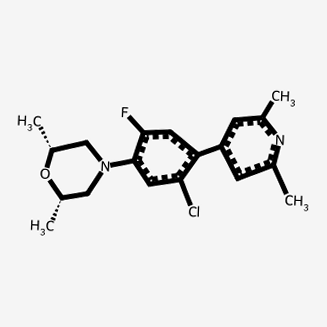 Cc1cc(-c2cc(F)c(N3C[C@@H](C)O[C@@H](C)C3)cc2Cl)cc(C)n1